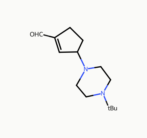 CC(C)(C)N1CCN(C2C=C(C=O)CC2)CC1